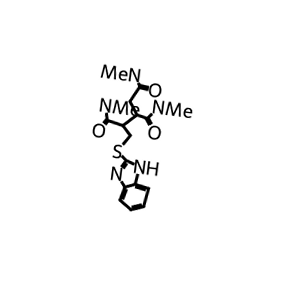 CNC(=O)CC(C(=O)NC)C(CSc1nc2ccccc2[nH]1)C(=O)NC